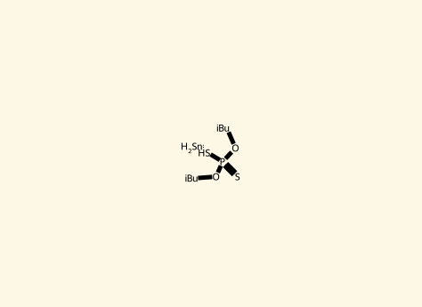 CCC(C)OP(=S)(S)OC(C)CC.[SnH2]